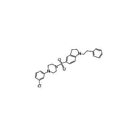 O=S(=O)(c1ccc2c(c1)CCN2CCc1ccccc1)N1CCN(c2cccc(Cl)c2)CC1